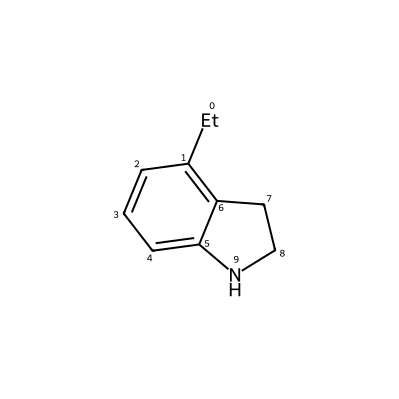 CCc1cccc2c1CCN2